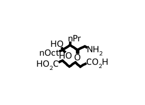 CCCCCCCCC(O)(O)C(CCC)C(=O)CN.O=C(O)CCCCC(=O)O